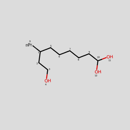 CCCC(CCO)CCCCCC(O)O